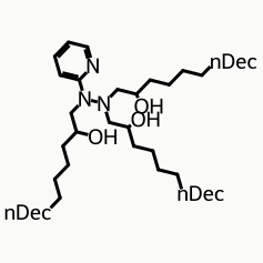 CCCCCCCCCCCCCCC(O)CN(CC(O)CCCCCCCCCCCCCC)N(CC(O)CCCCCCCCCCCCCC)c1ccccn1